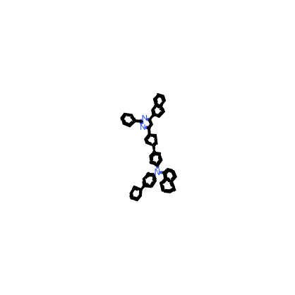 c1ccc(-c2ccc(N(c3ccc(-c4ccc(-c5cc(-c6ccc7ccccc7c6)nc(-c6ccccc6)n5)cc4)cc3)c3cccc4ccccc34)cc2)cc1